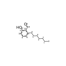 CCCCCCCc1cccc(O)c1C=O